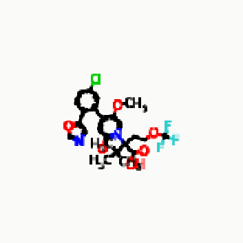 COc1cn(C(CCOC(F)(F)F)(C(=O)O)C(C)(C)C)c(=O)cc1-c1cc(Cl)ccc1-c1cnco1